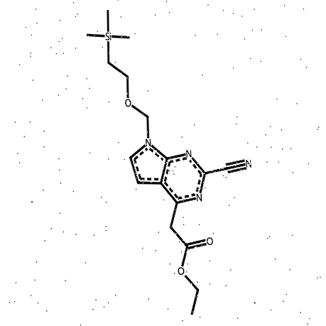 CCOC(=O)Cc1nc(C#N)nc2c1ccn2COCC[Si](C)(C)C